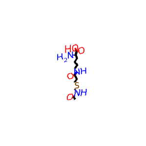 CC(=O)NCSCCC(=O)NCCCC[C@@H](N)C(=O)O